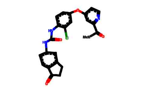 CNC(=O)c1cc(Oc2ccc(NC(=O)Nc3ccc4c(c3)CCC4=O)c(Cl)c2)ccn1